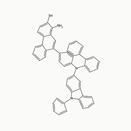 Nc1c(S)ccc2c1cc(-c1ccc(N(c3ccc4c(c3)c3ccccc3n4-c3ccccc3)c3ccccc3-c3ccccc3)cc1)c1ccccc12